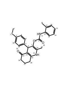 CSc1ccc(C2C(OC(=O)Nc3ccccc3C)=C(C)NC3=C2C(=O)CCC3)cc1